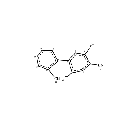 N#Cc1cc(F)c(-c2ccccc2C#N)cc1F